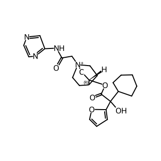 O=C(C[N+]12CCC(CC1)[C@@H](OC(=O)C(O)(c1ccco1)C1CCCCC1)C2)Nc1cnccn1